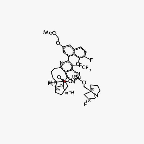 COCOc1cc(-c2nc3c4c(nc(OC[C@@]56CCCN5C[C@H](F)C6)nc4c2F)N2C[C@H]4CC[C@@H]([C@H]2CCC3)N4C(=O)OC(C)(C)C)c2c(OC(F)(F)F)c(F)ccc2c1